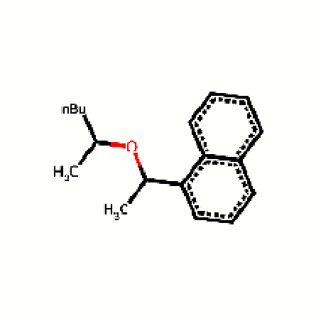 CCCCC(C)OC(C)c1cccc2ccccc12